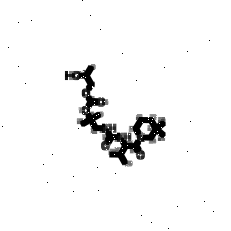 CC(O)COC(=O)OC(C)(C)CNC(=O)NC(C(=O)N1CCCC(C)(C)C1)C(C)C